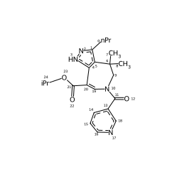 CCCc1n[nH]c2c1C(C)(C)CN(C(=O)c1cccnc1)C=C2C(=O)OC(C)C